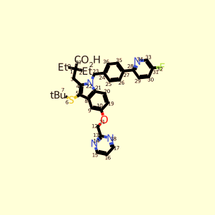 CCC(CC)(Cc1c(SC(C)(C)C)c2cc(OCc3ncccn3)ccc2n1Cc1ccc(-c2ccc(F)cn2)cc1)C(=O)O